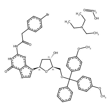 CCN(CC)CC.COc1ccc(C(OC[C@H]2O[C@@H](n3cnc4c(=O)[nH]c(NC(=O)Cc5ccc(Br)cc5)nc43)C[C@@H]2O)(c2ccccc2)c2ccc(OC)cc2)cc1.O=[PH2]O